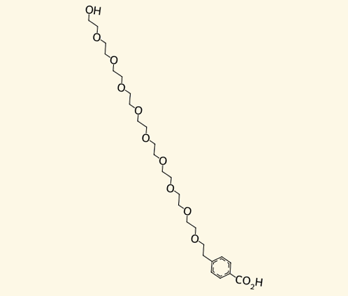 O=C(O)c1ccc(CCOCCOCCOCCOCCOCCOCCOCCOCCOCCO)cc1